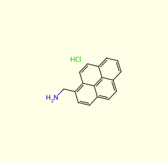 Cl.NCc1ccc2ccc3cccc4ccc1c2c34